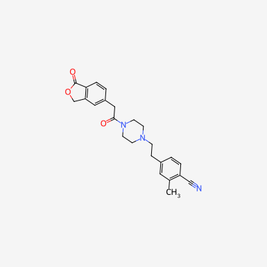 Cc1cc(CCN2CCN(C(=O)Cc3ccc4c(c3)COC4=O)CC2)ccc1C#N